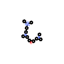 C1=C(c2ccc3oc4ccc(-c5ccc6c(c5)c5ccccc5n6-c5ccc(-c6ccc(-c7nc(-c8ccccc8)nc(-c8ccccc8)n7)cc6)cc5)cc4c3c2)C=C2c3ccccc3N(c3ccccc3)C2C1